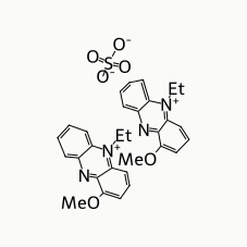 CC[n+]1c2ccccc2nc2c(OC)cccc21.CC[n+]1c2ccccc2nc2c(OC)cccc21.O=S(=O)([O-])[O-]